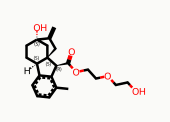 C=C1C[C@]23C[C@@]1(O)CC[C@@H]2c1cccc(C)c1[C@@H]3C(=O)OCCOCCO